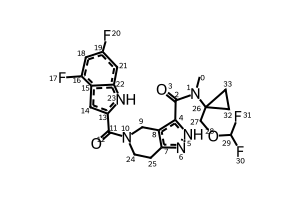 CN(C(=O)c1[nH]nc2c1CN(C(=O)c1cc3c(F)cc(F)cc3[nH]1)CC2)C1(COC(F)F)CC1